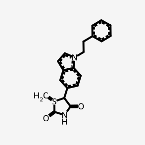 C=S1C(=O)NC(=O)C1c1ccc2c(ccn2CCc2ccccc2)c1